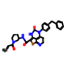 C=CC(=O)N1CCCC(NC(=O)c2sc3nccc4c3c2NC(=O)N4c2ccc(Cc3ccccc3)cc2)C1